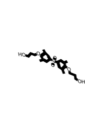 Cc1cc(S(=O)(=O)c2cc(C)c(OCCCO)c(C)c2)cc(C)c1OCCCO